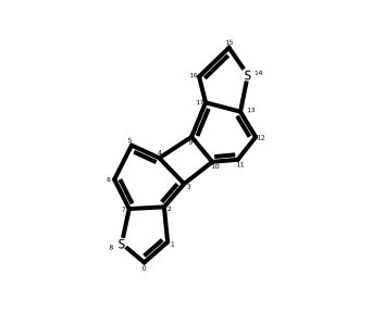 c1cc2c3c(ccc2s1)-c1c-3ccc2sccc12